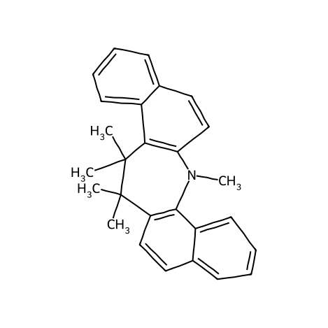 CN1c2ccc3ccccc3c2C(C)(C)C(C)(C)c2ccc3ccccc3c21